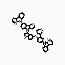 c1ccc2c(c1)c1cccnc1n2-c1ccc2c(c1)c1cnccc1n2-c1ccc2scc(-n3c4ccncc4c4cc(-n5c6ccccc6c6cccnc65)ccc43)c2c1